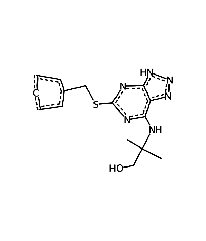 CC(C)(CO)Nc1nc(SCc2ccccc2)nc2[nH]nnc12